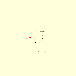 CC1=CC(C)(C)[C@@]23CCC[C@@]12[C@H](C)CC3